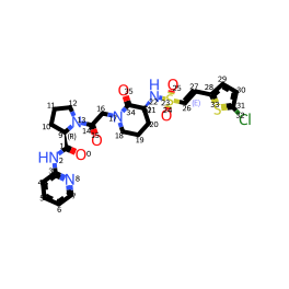 O=C(Nc1ccccn1)[C@H]1CCCN1C(=O)CN1CCC[C@H](NS(=O)(=O)/C=C/c2ccc(Cl)s2)C1=O